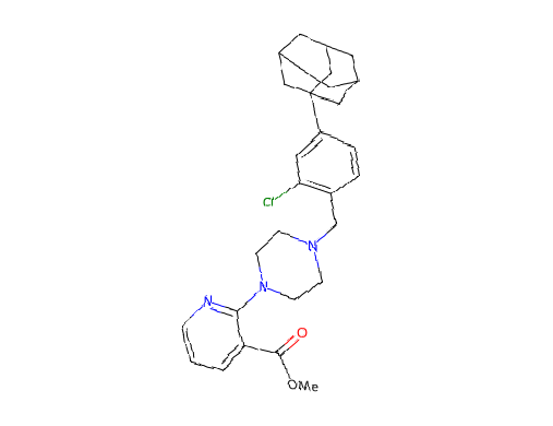 COC(=O)c1cccnc1N1CCN(Cc2ccc(C34CC5CC(CC(C5)C3)C4)cc2Cl)CC1